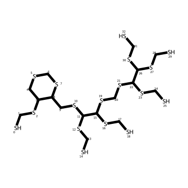 SCSC1CSCSC1CSC(SCS)C(SCS)SCSC(SCS)C(SCS)SCS